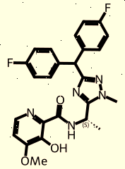 COc1ccnc(C(=O)N[C@@H](C)c2nc(C(c3ccc(F)cc3)c3ccc(F)cc3)nn2C)c1O